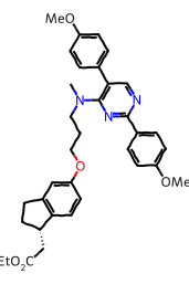 CCOC(=O)C[C@@H]1CCc2cc(OCCCN(C)c3nc(-c4ccc(OC)cc4)ncc3-c3ccc(OC)cc3)ccc21